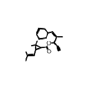 C#CC(OC(=O)C1C(C=C(C)C)C1(C)C)C(C)=CC1CC=CCC1